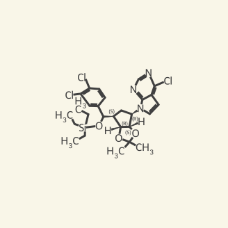 CC[Si](CC)(CC)OC(c1ccc(Cl)c(Cl)c1)[C@H]1C[C@@H](n2ccc3c(Cl)ncnc32)[C@@H]2OC(C)(C)O[C@@H]21